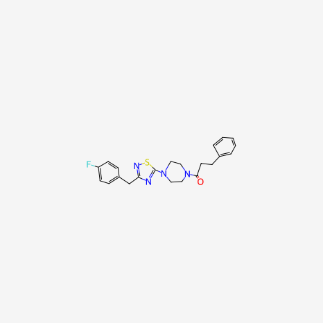 O=C(CCc1ccccc1)N1CCN(c2nc(Cc3ccc(F)cc3)ns2)CC1